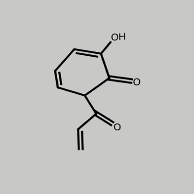 C=CC(=O)C1C=CC=C(O)C1=O